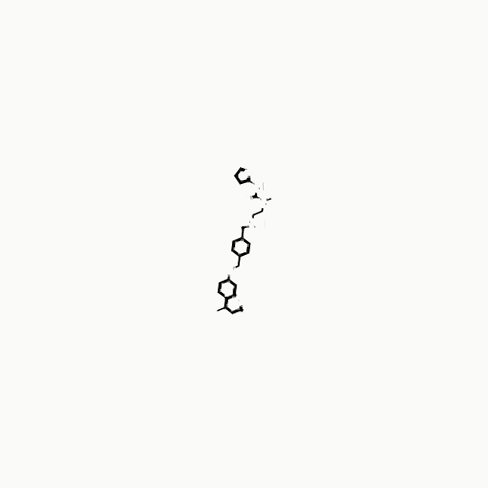 Cc1cc(=O)oc2cc(OCc3ccc(C(=O)NCCN(C)C(=O)Nc4cccs4)cc3)ccc12